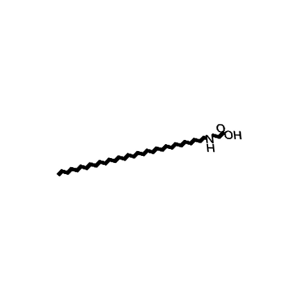 CCCCCCCCCCCCCCCCCCCCCCCCCCCCCCCCNCCC(=O)O